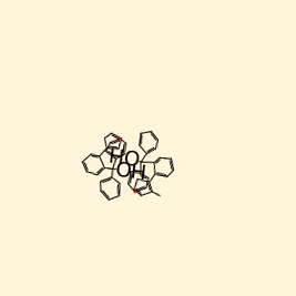 CC1=C(c2ccccc2C(O)(c2ccccc2)c2ccccc2)CC=C1.OC(c1ccccc1)(c1ccccc1)c1ccccc1C1=CC=CC1